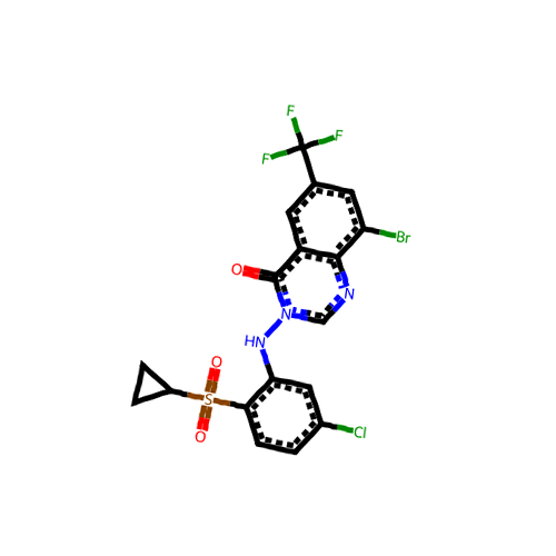 O=c1c2cc(C(F)(F)F)cc(Br)c2ncn1Nc1cc(Cl)ccc1S(=O)(=O)C1CC1